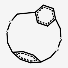 c1cc2ccc1CSSCc1ccc(cc1)CSSC2